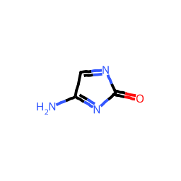 NC1=NC(=O)N=C1